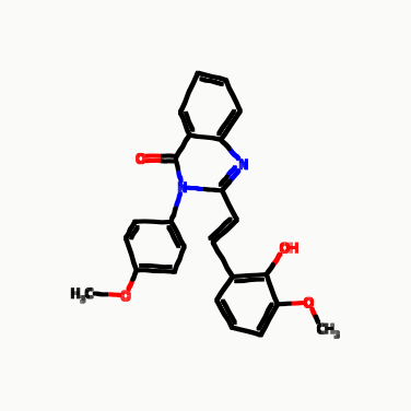 COc1ccc(-n2c(C=Cc3cccc(OC)c3O)nc3ccccc3c2=O)cc1